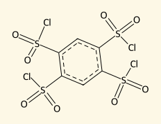 O=S(=O)(Cl)c1cc(S(=O)(=O)Cl)c(S(=O)(=O)Cl)cc1S(=O)(=O)Cl